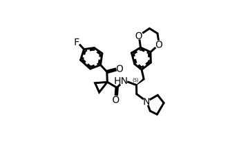 O=C(N[C@@H](Cc1ccc2c(c1)OCCO2)CN1CCCC1)C1(C(=O)c2ccc(F)cc2)CC1